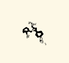 CC(C)NCC1CC(c2ccc(OC(F)(F)F)cc2)N1Cc1ccccc1Br